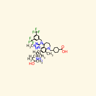 CC(C)(C)N.CC(C)O.Cc1cc(C)c2c(c1)[C@@H](N(Cc1cc(C(F)(F)F)cc(C(F)(F)F)c1)c1nnn(C)n1)CCCN2CC1CCC(C(=O)O)CC1